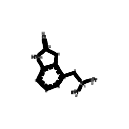 CCCN(CCC)Cc1cccc2c1CC(=O)N2